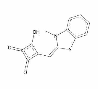 CN1/C(=C\c2c(O)c(=O)c2=O)Sc2ccccc21